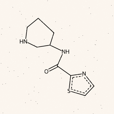 O=C(NC1CCCNC1)c1nccs1